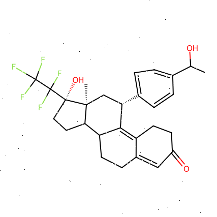 CC(O)c1ccc([C@H]2C[C@@]3(C)C(CC[C@@]3(O)C(F)(F)C(F)(F)F)C3CCC4=CC(=O)CCC4=C32)cc1